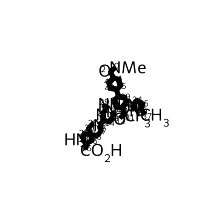 CNC(=O)c1ccc(-c2ccc(C(Oc3cc(N4CCC5(CC4)CNC(C(=O)O)C5)nc(N)n3)C(F)(F)F)c(-n3ccc(C)n3)c2)cc1